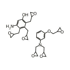 Nc1cc(O)c(CC2CO2)c(CC2CO2)c1CC1CO1.c1cc(OCC2CO2)cc(N(CC2CO2)CC2CO2)c1